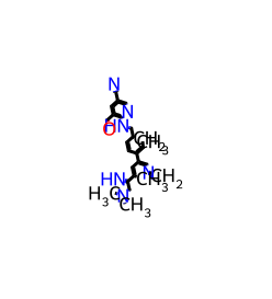 C=N/C=C(\C=C(/C)C(=N)CN(C)C)C(/C=C\C(=C)CNc1ncc(C#N)cc1C=O)=C/C